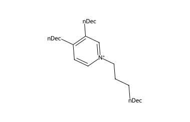 CCCCCCCCCCCCC[n+]1ccc(CCCCCCCCCC)c(CCCCCCCCCC)c1